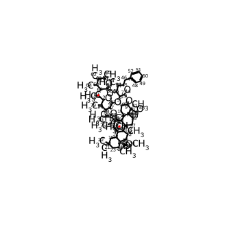 CCC1O[C@@H](OC2[C@H](O[C@H]3CCC4(C)C5CC=C6C7CC(C)(C)CC[C@]7(C(C)=O)[C@H](OC)CC6(C)C5(C)CC[C@H]4C3(C)C=O)OC(Cc3ccccc3)[C@@H](C)[C@@H]2O[C@@H]2O[C@@H](C)[C@H](C)C(C)C2C)C(O[Si](CC)(CC)CC)[C@@H](C)[C@H]1C